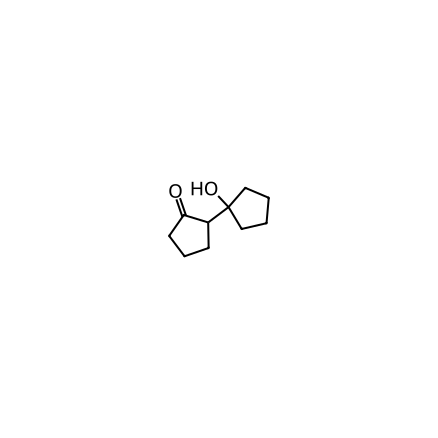 O=C1CCCC1C1(O)CCCC1